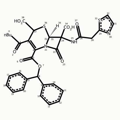 CCCCC(=O)C1=C(C(=O)OC(c2ccccc2)c2ccccc2)N2C(=O)C(NC(=O)Cc3nccs3)(C(=O)O)[C@@H]2SC1C(=O)O